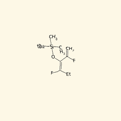 C=C(F)/C(O[Si](C)(C)C(C)(C)C)=C(/F)CC